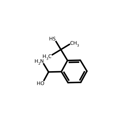 CC(C)(S)c1ccccc1C(N)O